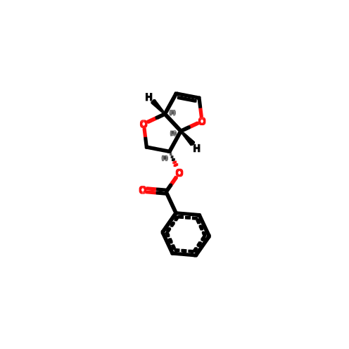 O=C(O[C@@H]1CO[C@@H]2C=CO[C@@H]21)c1ccccc1